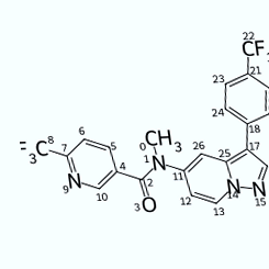 CN(C(=O)c1ccc(C(F)(F)F)nc1)c1ccn2ncc(-c3ccc(C(F)(F)F)cc3)c2c1